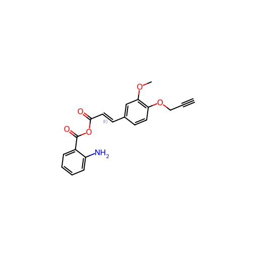 C#CCOc1ccc(/C=C/C(=O)OC(=O)c2ccccc2N)cc1OC